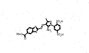 COC(=O)c1ccc2nc(/N=N/c3c(C)nn(-c4cc(S(=O)(=O)O)ccc4S(=O)(=O)O)c3N)sc2c1